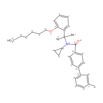 [2H]C([2H])(c1ccccc1OCCCCCC(=O)O)N(C(=O)c1ccc(-c2cccc(C)c2)cc1)C1CC1